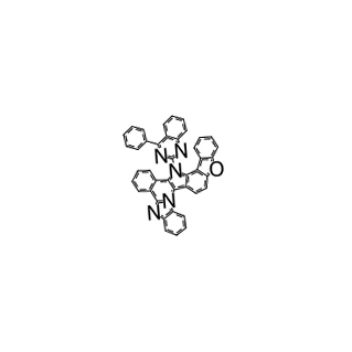 c1ccc(-c2nc(-n3c4c(ccc5oc6ccccc6c54)c4c3c3ccccc3c3nc5ccccc5n34)nc3ccccc23)cc1